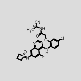 C[C@@H](C#N)NC(=O)COc1cc(Cl)ccc1Nc1ncnc2cc(N=S3(=O)CCC3)cc(F)c12